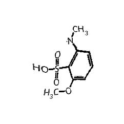 C[N]c1cccc(OC)c1S(=O)(=O)O